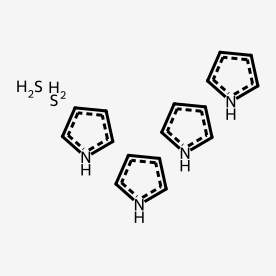 S.S.c1cc[nH]c1.c1cc[nH]c1.c1cc[nH]c1.c1cc[nH]c1